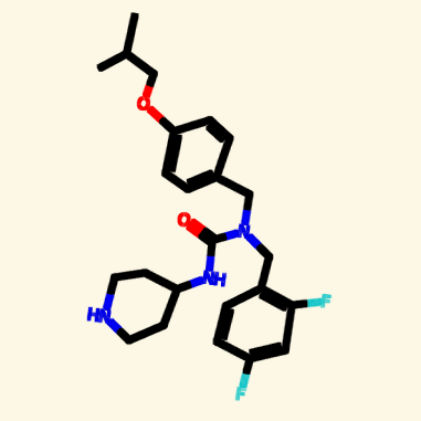 CC(C)COc1ccc(CN(Cc2ccc(F)cc2F)C(=O)NC2CCNCC2)cc1